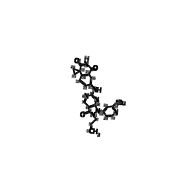 C=CCn1c(=O)c2cnc(Nc3ccc4c(c3)C(=O)NC(=O)C43CC3)nc2n1-c1ccnc(C(C)(C)C)c1